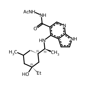 CC[C@]1(O)CC(C)C[C@H]([C@H](C)Nc2c(C(=O)NNC(C)=O)cnc3[nH]ccc23)C1